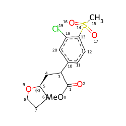 COC(=O)C(C[C@H]1CCCO1)c1ccc(S(C)(=O)=O)c(Cl)c1